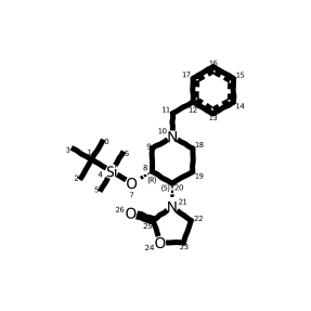 CC(C)(C)[Si](C)(C)O[C@@H]1CN(Cc2ccccc2)CC[C@@H]1N1CCOC1=O